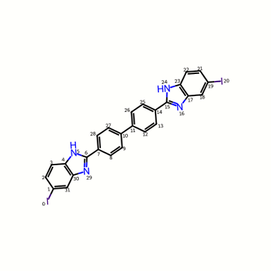 Ic1ccc2[nH]c(-c3ccc(-c4ccc(-c5nc6cc(I)ccc6[nH]5)cc4)cc3)nc2c1